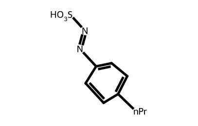 CCCc1ccc(N=NS(=O)(=O)O)cc1